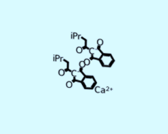 CC(C)CC(=O)[C-]1C(=O)c2ccccc2C1=O.CC(C)CC(=O)[C-]1C(=O)c2ccccc2C1=O.[Ca+2]